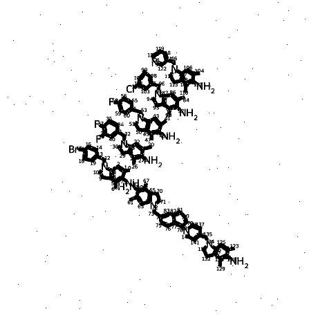 Cc1cc2c(c(C)c1N)CCN2Cc1ccc(Br)cc1.Cc1cc2c(c(C)c1N)CCN2Cc1ccc(F)c(F)c1.Cc1cc2c(c(C)c1N)CCN2Cc1ccc(F)cc1.Cc1cc2c(c(C)c1N)CCN2Cc1ccc2ccccc2c1.Cc1cc2c(c(C)c1N)CCN2Cc1cccc(Cl)c1.Cc1cc2c(c(C)c1N)CCN2Cc1cccnc1.Cc1cc2c(c(C)c1N)CCN2Cc1ccncc1